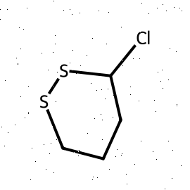 ClC1CCCSS1